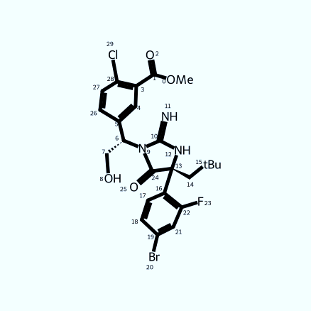 COC(=O)c1cc([C@@H](CO)N2C(=N)N[C@](CC(C)(C)C)(c3ccc(Br)cc3F)C2=O)ccc1Cl